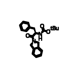 CC(C)(C)OC(=O)N[C@H](Cc1ccccc1)C(=O)N1Cc2ccccc2C1